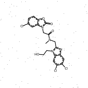 CN(Cc1nc2cc(Cl)c(Cl)cc2n1CCO)C(=O)Cn1c(=O)oc2ccc(Cl)cc21